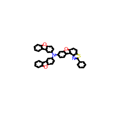 c1ccc(-c2nc3c(ccc4oc5cc(N(c6ccc7oc8ccccc8c7c6)c6ccc7oc8ccccc8c7c6)ccc5c43)s2)cc1